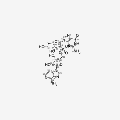 Nc1nc2c(ncn2[C@@H]2O[C@H](CCO)[C@@H](O)[C@H]2P(=O)(O)OC[C@H]2O[C@@H](n3cnc4c(N)nccc43)[C@H](O)[C@@H]2O)c(=O)[nH]1